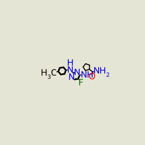 Cc1ccc(Nc2ncc(F)c(NC3CCCC3C(N)=O)n2)cc1